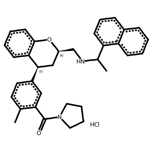 Cc1ccc([C@@H]2C[C@H](CNC(C)c3cccc4ccccc34)Oc3ccccc32)cc1C(=O)N1CCCC1.Cl